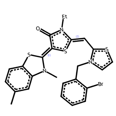 CCn1c(=O)/c(=C2\Sc3ccc(C)cc3N2C)s/c1=C\c1scc[n+]1Cc1ccccc1Br